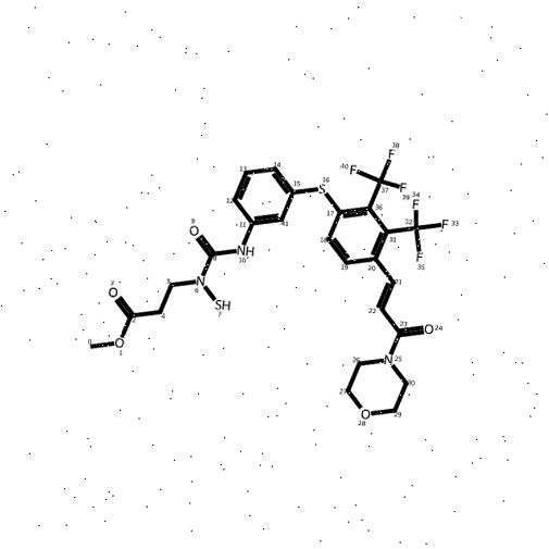 COC(=O)CCN(S)C(=O)Nc1cccc(Sc2ccc(C=CC(=O)N3CCOCC3)c(C(F)(F)F)c2C(F)(F)F)c1